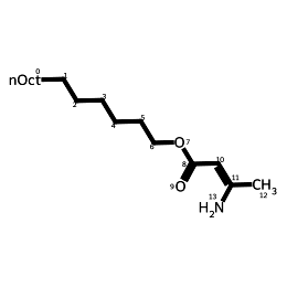 CCCCCCCCCCCCCCOC(=O)C=C(C)N